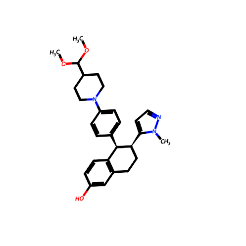 COC(OC)C1CCN(c2ccc([C@@H]3c4ccc(O)cc4CC[C@@H]3c3ccnn3C)cc2)CC1